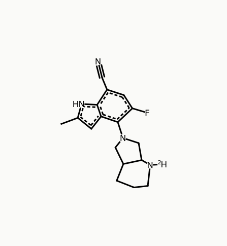 [2H]N1CCCC2CN(c3c(F)cc(C#N)c4[nH]c(C)cc34)CC21